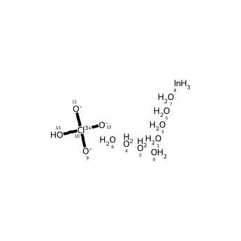 O.O.O.O.O.O.O.O.[InH3].[O-][Cl+3]([O-])([O-])O